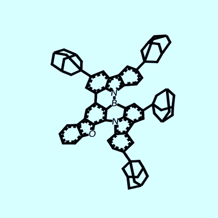 c1ccc2c(c1)oc1c3c4c(cc12)-c1cc(C25CC6CC(CC(C6)C2)C5)cc2c5cc(C67CC8CC(CC(C8)C6)C7)ccc5n(c12)B4c1cc(C24CC5CC(CC(C5)C2)C4)cc2c4cc(C56CC7CC(CC(C7)C5)C6)ccc4n-3c12